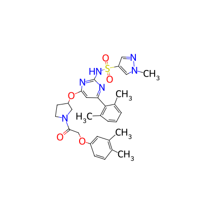 Cc1ccc(OCC(=O)N2CCC(Oc3cc(-c4c(C)cccc4C)nc(NS(=O)(=O)c4cnn(C)c4)n3)C2)cc1C